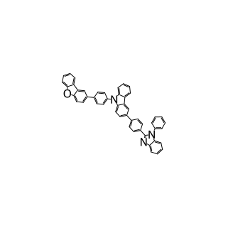 c1ccc(-n2c(-c3ccc(-c4ccc5c(c4)c4ccccc4n5-c4ccc(-c5ccc6oc7ccccc7c6c5)cc4)cc3)nc3ccccc32)cc1